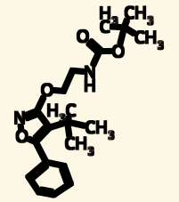 CC(C)(C)OC(=O)NCCOc1noc(-c2ccccc2)c1C(C)(C)C